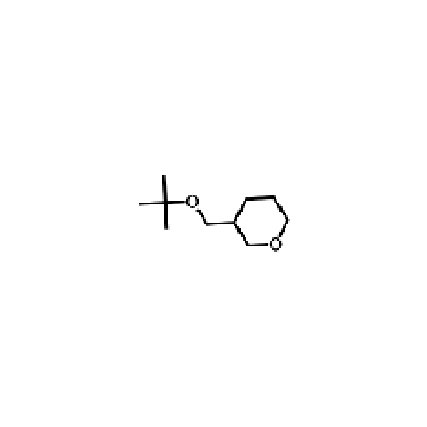 CC(C)(C)OCC1CCCOC1